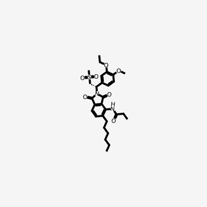 CCCCCCc1ccc2c(c1NC(=O)CC)C(=O)N([C@H](CS(C)(=O)=O)c1ccc(OC)c(OCC)c1)C2=O